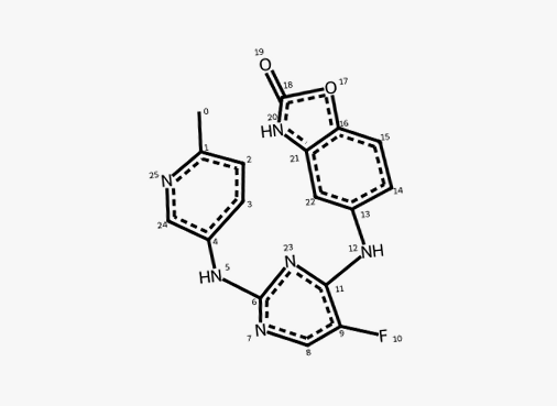 Cc1ccc(Nc2ncc(F)c(Nc3ccc4oc(=O)[nH]c4c3)n2)cn1